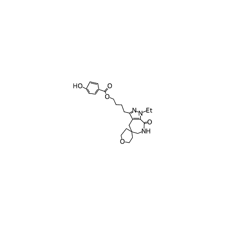 CCn1nc(CCCCOC(=O)c2ccc(O)cc2)c2c1C(=O)NCC1(CCOCC1)C2